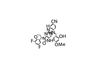 COc1ccc(CNc2ccc(C#N)cc2Nc2ncc3[nH]c(=O)n([C@@H]4CCOc5c(F)cc(F)cc54)c3n2)c(O)c1